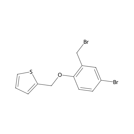 BrCc1cc(Br)ccc1OCc1cccs1